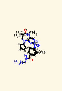 COc1cc(C(=O)NCN)ccc1Nc1ncc2c(n1)N(C1CCCC1)CC(C)(C)C(=O)N2C